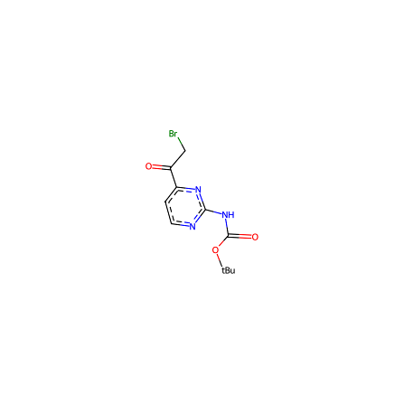 CC(C)(C)OC(=O)Nc1nccc(C(=O)CBr)n1